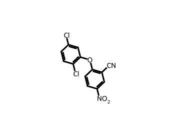 N#Cc1cc([N+](=O)[O-])ccc1Oc1cc(Cl)ccc1Cl